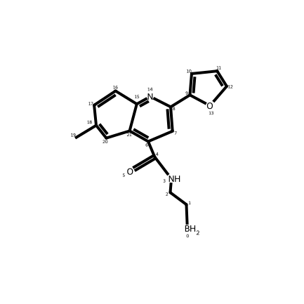 BCCNC(=O)c1cc(-c2ccco2)nc2ccc(C)cc12